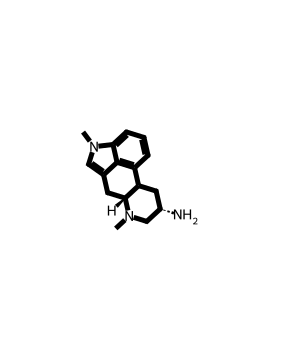 CN1C[C@@H](N)CC2c3cccc4c3c(cn4C)C[C@H]21